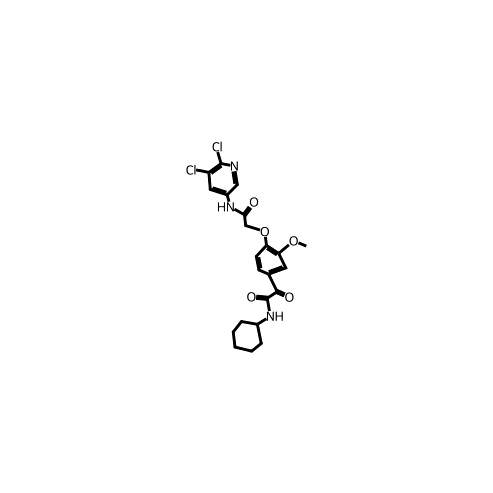 COc1cc(C(=O)C(=O)NC2CCCCC2)ccc1OCC(=O)Nc1cnc(Cl)c(Cl)c1